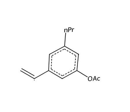 C=[C]c1cc(CCC)cc(OC(C)=O)c1